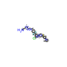 C=C(NCCC[N+](C)(C)CCCN)C1CCC(C(F)(F)c2cc(Cl)nc(N3CCN(Sc4ccc(N5CCCC5=C)cc4)CC3)c2)CC1